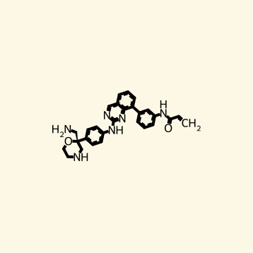 C=CC(=O)Nc1cccc(-c2cccc3cnc(Nc4ccc([C@]5(CN)CNCCO5)cc4)nc23)c1